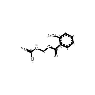 CC(=O)Oc1ccccc1C(=O)OCOC(=O)Cl